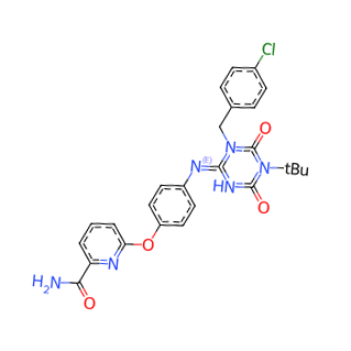 CC(C)(C)n1c(=O)[nH]/c(=N\c2ccc(Oc3cccc(C(N)=O)n3)cc2)n(Cc2ccc(Cl)cc2)c1=O